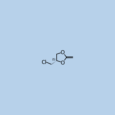 C=C1OC[C@@H](CCl)O1